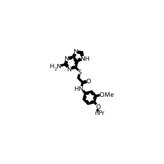 CCCOc1ccc(NC(=O)CSc2nc(N)nc3nc[nH]c23)cc1OC